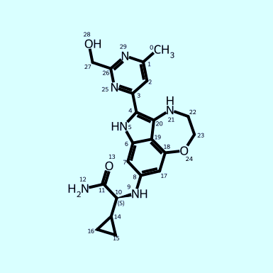 Cc1cc(-c2[nH]c3cc(N[C@H](C(N)=O)C4CC4)cc4c3c2NCCO4)nc(CO)n1